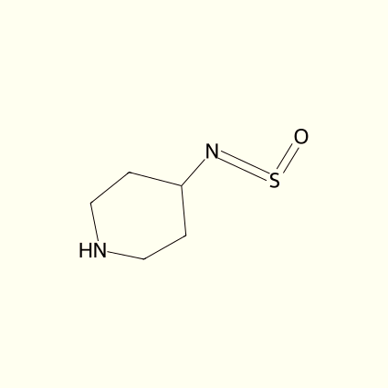 O=S=NC1CCNCC1